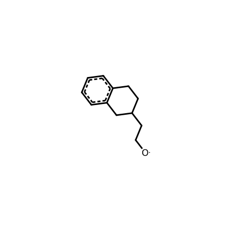 [O]CCC1CCc2ccccc2C1